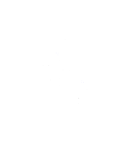 CCCCc1ccc(-c2ccccc2C2(Nc3ccc(C)cc3)C=CC(c3ccc(Nc4ccc(C)cc4)cc3)=CC2)cc1